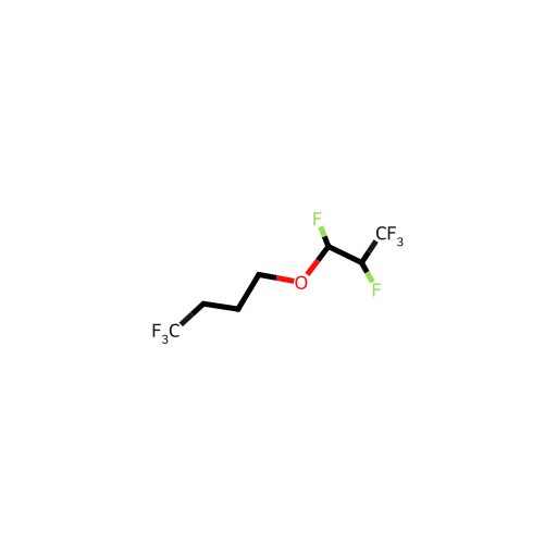 FC(OCCCC(F)(F)F)C(F)C(F)(F)F